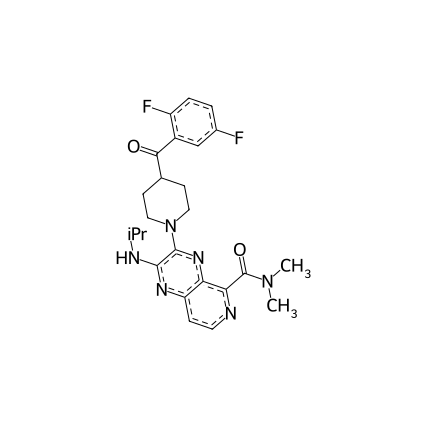 CC(C)Nc1nc2ccnc(C(=O)N(C)C)c2nc1N1CCC(C(=O)c2cc(F)ccc2F)CC1